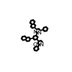 c1ccc(-c2cc(-c3ccc4ccccc4c3)nc(-c3cc(-c4ccc5ccccc5c4)cc(-c4ccnc5c4oc4ccccc45)c3)n2)cc1